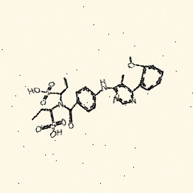 CCC(N(C(=O)c1ccc(Nc2ncnc(-c3ccccc3OC)c2C)cc1)C(CC)S(=O)(=O)O)S(=O)(=O)O